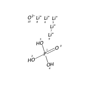 O=P(O)(O)O.[Li+].[Li+].[Li+].[Li+].[Li+].[O-2]